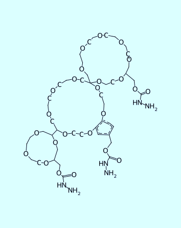 NNC(=O)OCc1ccc2c(c1)OCCOC(C1COCCOCCOC(COC(=O)NN)CO1)COCCOCCOCC1(COCCOCCOCCOCCOCC(COC(=O)NN)OCCO1)OCCO2